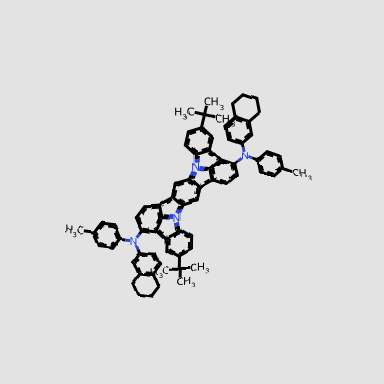 Cc1ccc(N(c2ccc3c(c2)CCCC3)c2ccc3c4cc5c(cc4n4c6ccc(C(C)(C)C)cc6c2c34)c2ccc(N(c3ccc(C)cc3)c3ccc4c(c3)CCCC4)c3c4cc(C(C)(C)C)ccc4n5c23)cc1